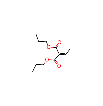 CC=C(C(=O)OCCC)C(=O)OCCC